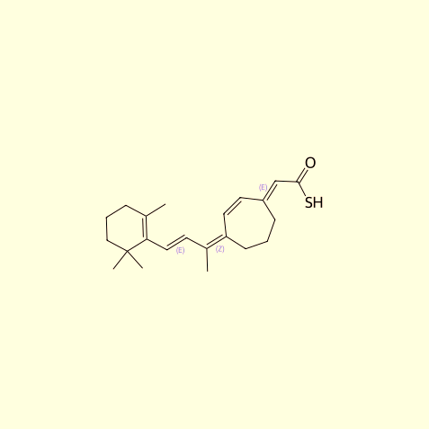 CC1=C(/C=C/C(C)=C2C=C/C(=C/C(=O)S)CCC\2)C(C)(C)CCC1